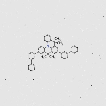 CC1(C)c2ccccc2N2c3ccc(-c4cccc(-c5ccccc5)c4)cc3C(C)(C)c3cc(-c4cccc(C5C=CC=CC5)c4)cc1c32